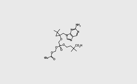 CC(C)(C)C(=O)OCOP(=O)(COC1(Cn2cnc3cnc(N)nc32)CC1(C)C)OCCC(C)(C)C(=O)O